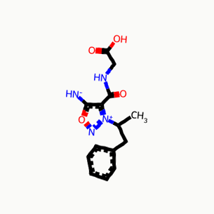 CC(Cc1ccccc1)[n+]1noc([NH-])c1C(=O)NCC(=O)O